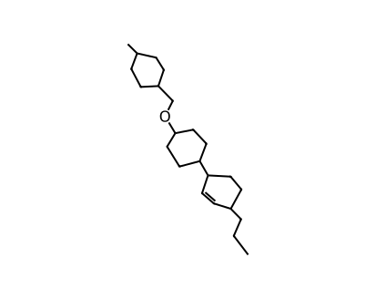 CCCC1C=CC(C2CCC(OCC3CCC(C)CC3)CC2)CC1